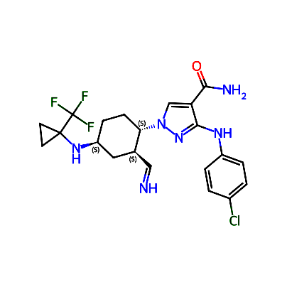 N=C[C@H]1C[C@@H](NC2(C(F)(F)F)CC2)CC[C@@H]1n1cc(C(N)=O)c(Nc2ccc(Cl)cc2)n1